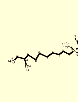 CO[Si](C)(C)CCCCCCCCC(O)CO